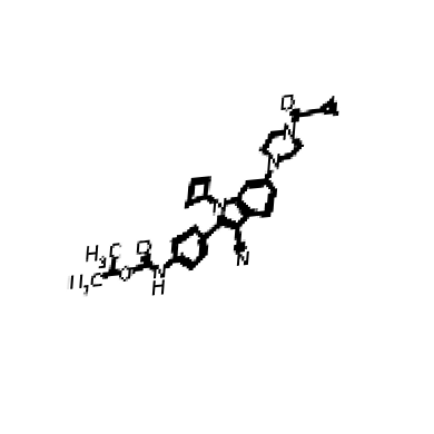 CC(C)OC(=O)Nc1ccc(-c2c(C#N)c3ccc(N4CCN(C(=O)C5CC5)CC4)cc3n2C2CCC2)cc1